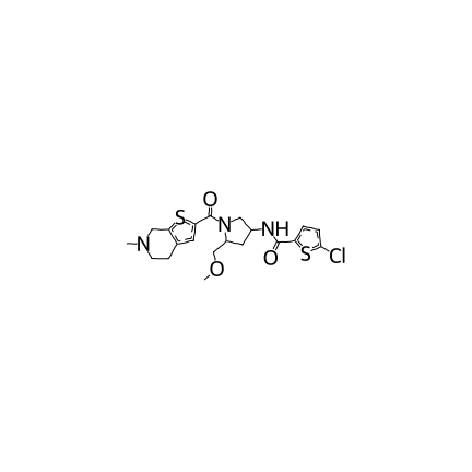 COCC1CC(NC(=O)c2ccc(Cl)s2)CN1C(=O)c1cc2c(s1)CN(C)CC2